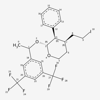 CC(O[C@H]1OCC[C@H](CCI)[C@@H]1c1ccccc1)c1cc(C(F)(F)F)cc(C(F)(F)F)c1